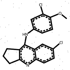 COc1ccc(Nc2c3c(nc4ccc(Cl)cc24)CCC3)cc1Cl